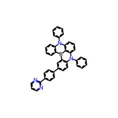 c1ccc(N2c3ccccc3B3c4cc(-c5ccc(-c6ncccn6)cc5)ccc4N(c4ccccc4)c4cccc2c43)cc1